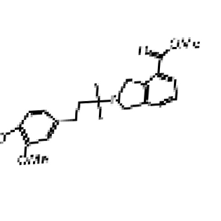 COC(=O)c1cccc2c1CN(C(C)(C)CCc1ccc(O)c(OC)c1)C2